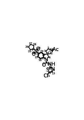 CC(=O)N1CCC2(C1)CN(C(=O)Nc1ncc(Cl)s1)c1ccc(S(=O)(=O)C3CCCC3)cc12